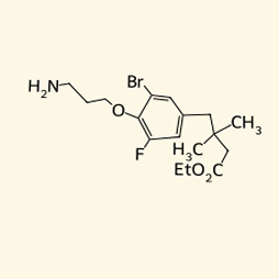 CCOC(=O)CC(C)(C)Cc1cc(F)c(OCCCN)c(Br)c1